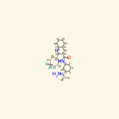 NC1(c2cccc(NC(=O)c3cc4ccccc4nc3C3CCCC(F)(F)CC3)c2)CC1